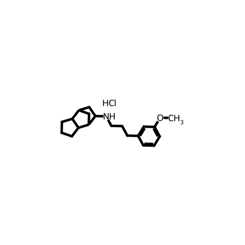 COc1cccc(CCCNC2CC3CC2C2CCCC32)c1.Cl